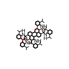 CC(C)c1cccc(C(C)C)c1NC(=O)c1ccc2c3ccc(C(=O)Nc4c(C(C)C)cccc4C(C)C)c4c(C(=O)Nc5c(C(C)C)cccc5C(C)C)cc(Nc5c(C(C)C)cccc5C(C)C)c(c5ccc(C(=O)Nc6c(C(C)C)cccc6C(C)C)c1c25)c43